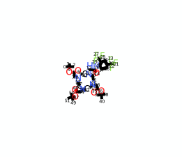 CC(C)(C)OC(=O)CN1CCN(CC(=O)Nc2ccc(C(F)(F)F)cc2C(F)(F)F)CCN(CC(=O)OC(C)(C)C)CCN(CC(=O)OC(C)(C)C)CC1